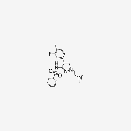 Cc1ccc(-c2cn(CCN(C)C)nc2NS(=O)(=O)c2ccccc2)cc1F